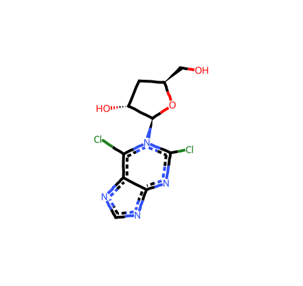 OC[C@@H]1C[C@@H](O)[C@H](n2c(Cl)nc3ncnc-3c2Cl)O1